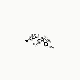 COc1ccc(-c2c(C)nn3c(N[C@H](C)Cc4nc(C5CC5)no4)cc(C)nc23)c(C)c1